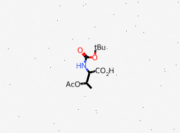 CC(=O)OC(C)C(NC(=O)OC(C)(C)C)C(=O)O